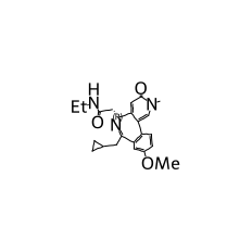 CCNC(=O)C[C@H]1N=C(CC2CC2)c2cc(OC)ccc2-c2cn(C)c(=O)cc21